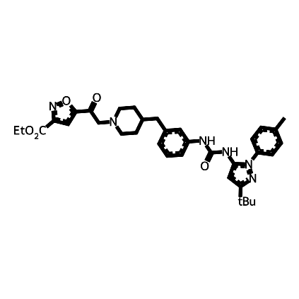 CCOC(=O)c1cc(C(=O)CN2CCC(Cc3cccc(NC(=O)Nc4cc(C(C)(C)C)nn4-c4ccc(C)cc4)c3)CC2)on1